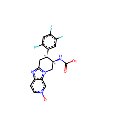 O=C(O)N[C@H]1Cn2c(nc3cc[n+]([O-])cc32)C[C@@H]1c1cc(F)c(F)cc1F